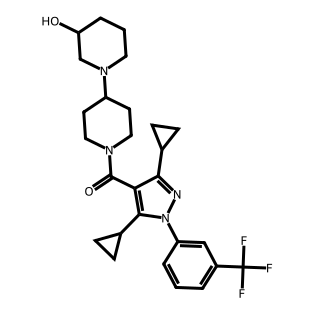 O=C(c1c(C2CC2)nn(-c2cccc(C(F)(F)F)c2)c1C1CC1)N1CCC(N2CCCC(O)C2)CC1